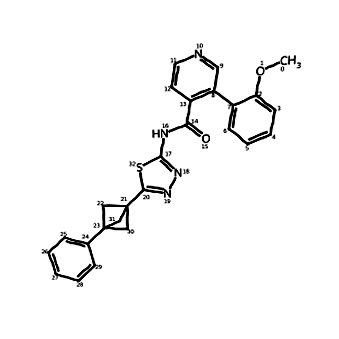 COc1ccccc1-c1cnccc1C(=O)Nc1nnc(C23CC(c4ccccc4)(C2)C3)s1